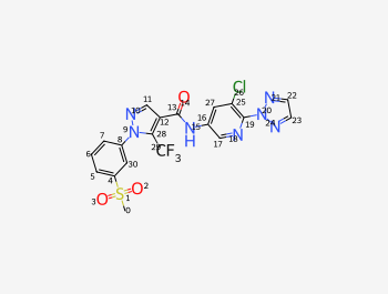 CS(=O)(=O)c1cccc(-n2ncc(C(=O)Nc3cnc(-n4nccn4)c(Cl)c3)c2C(F)(F)F)c1